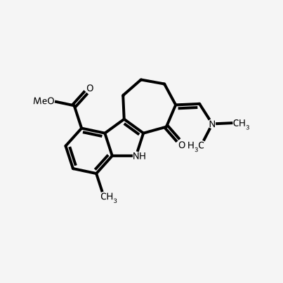 COC(=O)c1ccc(C)c2[nH]c3c(c12)CCCC(=CN(C)C)C3=O